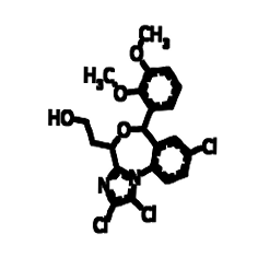 COc1cccc(C2OC(CCO)c3nc(Cl)c(Cl)n3-c3ccc(Cl)cc32)c1OC